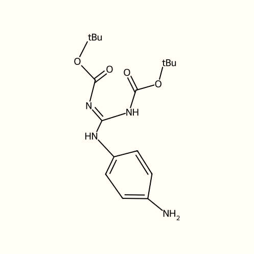 CC(C)(C)OC(=O)/N=C(\NC(=O)OC(C)(C)C)Nc1ccc(N)cc1